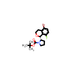 CC(C)(C)OC(=O)N1CCC[C@H]1C1OCCc2c(Br)ccc(F)c21